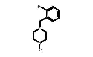 CC(=O)N1CCN(Cc2ccccc2C(C)C)CC1